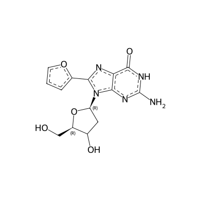 Nc1nc2c(nc(-c3ccco3)n2[C@H]2CC(O)[C@@H](CO)O2)c(=O)[nH]1